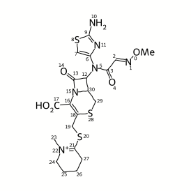 CON=CC(=O)N(c1csc(N)n1)C1C(=O)N2C(C(=O)O)=C(CSC3=[N+](C)CCCC3)SCC12